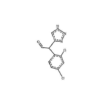 O=CC(c1c[nH]nn1)c1ccc(Cl)cc1Cl